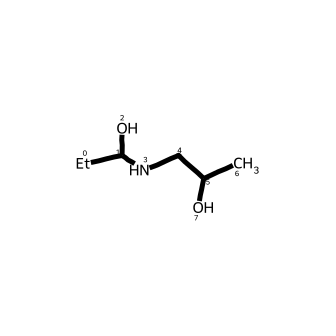 CCC(O)NCC(C)O